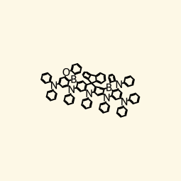 c1ccc(N(c2ccccc2)c2cc3c4c(c2)N(c2ccccc2)c2cc5c(cc2B4c2ccccc2O3)C2(c3ccccc3-c3ccccc32)c2cc3c(cc2N5c2ccccc2)N(c2ccccc2)c2cc(N(c4ccccc4)c4ccccc4)cc4c2B3c2ccccc2N4c2ccccc2)cc1